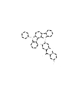 Cc1ccc2oc3cc(-n4c5ccccc5c5ccc6c(c7ccccc7n6-c6ccccc6)c54)c(C)cc3c(=O)c2c1